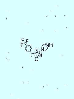 O=C1N=C(N2CCNCC2)SC1=Cc1ccc(C(F)(F)F)cc1